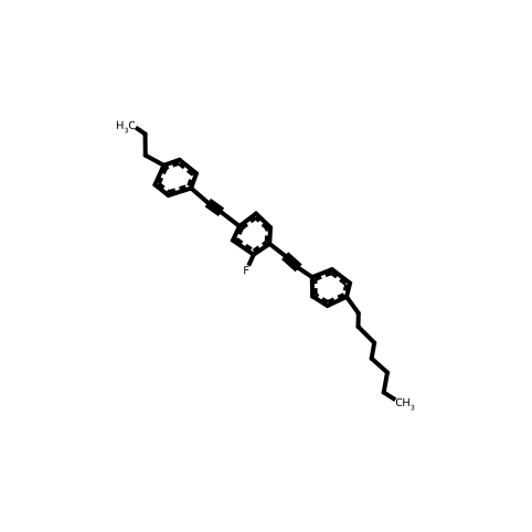 CCCCCCCc1ccc(C#Cc2ccc(C#Cc3ccc(CCC)cc3)cc2F)cc1